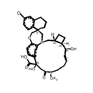 CN1CC/C=C/[C@H](O)[C@@H]2CC[C@H]2CN2C[C@@]3(CCCc4cc(Cl)ccc43)COc3ccc(cc32)[C@@](O)(C(=O)O)CC1=O